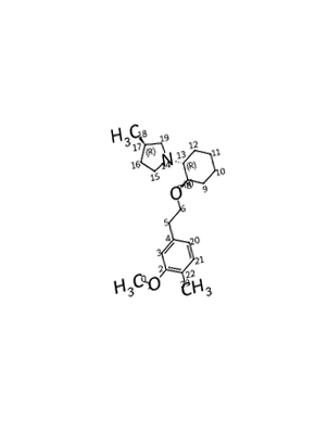 COc1cc(CCO[C@@H]2CCCC[C@H]2N2CC[C@@H](C)C2)ccc1C